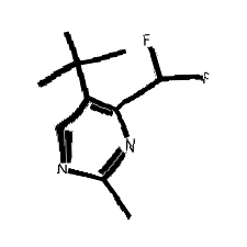 Cc1ncc(C(C)(C)C)c(C(F)F)n1